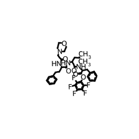 CC(C)CC(NC(=O)C(CCc1ccccc1)NC(=O)CN1CCOCC1)C(=O)NC(Cc1ccccc1)C(=O)Oc1c(F)c(F)c(F)c(F)c1F